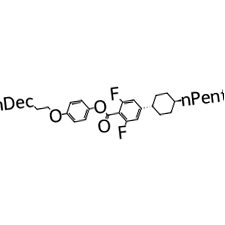 CCCCCCCCCCCCOc1ccc(OC(=O)c2c(F)cc([C@H]3CC[C@H](CCCCC)CC3)cc2F)cc1